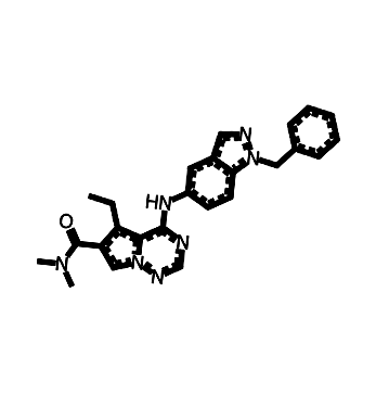 CCc1c(C(=O)N(C)C)cn2ncnc(Nc3ccc4c(cnn4Cc4ccccc4)c3)c12